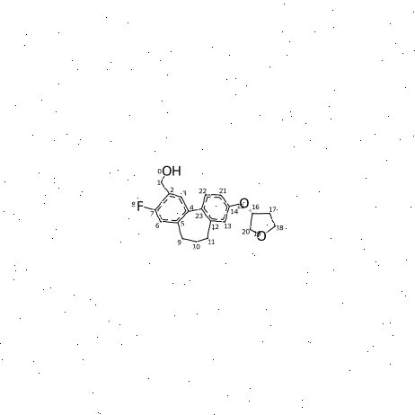 OCc1cc2c(cc1F)CCCc1cc(O[C@@H]3CCOC3)ccc1-2